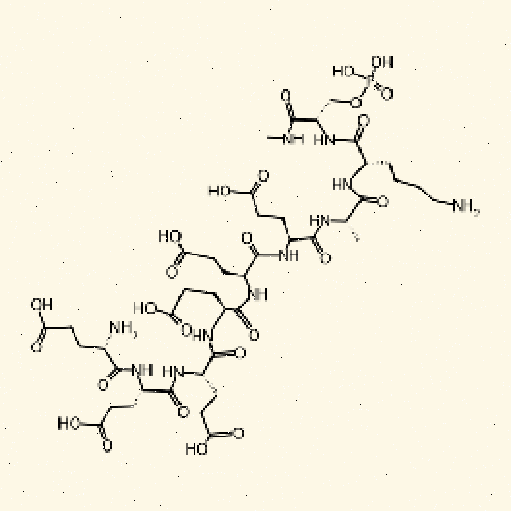 CNC(=O)[C@H](COP(=O)(O)O)NC(=O)[C@H](CCCCN)NC(=O)[C@H](C)NC(=O)[C@H](CCC(=O)O)NC(=O)[C@H](CCC(=O)O)NC(=O)[C@H](CCC(=O)O)NC(=O)[C@H](CCC(=O)O)NC(=O)[C@H](CCC(=O)O)NC(=O)[C@@H](N)CCC(=O)O